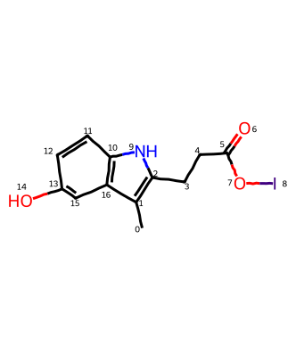 Cc1c(CCC(=O)OI)[nH]c2ccc(O)cc12